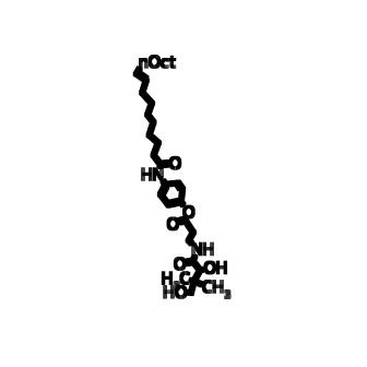 CCCCCCCCC=CCCCCCCCC(=O)Nc1ccc(OC(=O)CCNC(=O)C(O)C(C)(C)CO)cc1